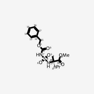 CCC[C@@](C)(NS(=O)(=O)NC(=O)OCc1ccccc1)C(=O)OC